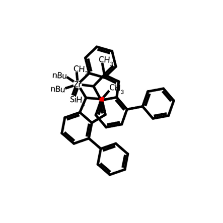 CCC[CH2][Zr]([CH3])(=[SiH2])([CH2]CCC)([c]1ccccc1)([CH]1C(C)=Cc2c(-c3ccccc3)cccc21)[CH]1C(C)=Cc2c(-c3ccccc3)cccc21